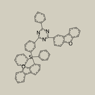 c1ccc(-c2nc(-c3cccc([Si](c4ccccc4)(c4ccccc4)c4cccc5c4oc4ccccc45)c3)nc(-c3ccc4oc5ccccc5c4c3)n2)cc1